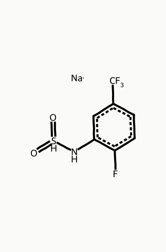 O=[SH](=O)Nc1cc(C(F)(F)F)ccc1F.[Na]